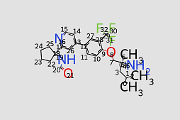 CC(C)C[C@](C)(N)COc1ccc(-c2ccnc(C3(NC=O)CCCC3)c2)cc1C(F)(F)F